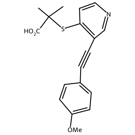 COc1ccc(C#Cc2cnccc2SC(C)(C)C(=O)O)cc1